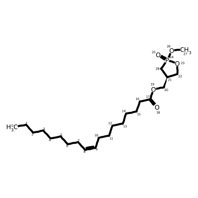 CCCCCCCC/C=C\CCCCCCCC(=O)OC[C@@H]1COP(=O)(OC)C1